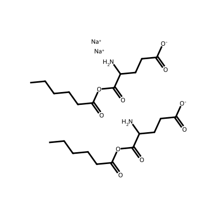 CCCCCC(=O)OC(=O)C(N)CCC(=O)[O-].CCCCCC(=O)OC(=O)C(N)CCC(=O)[O-].[Na+].[Na+]